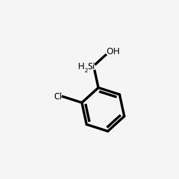 O[SiH2]c1ccccc1Cl